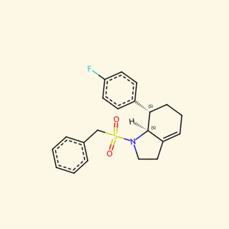 O=S(=O)(Cc1ccccc1)N1CCC2=CCC[C@@H](c3ccc(F)cc3)[C@@H]21